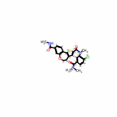 CNC(=O)c1ccc2c(c1)OCCc1cc(C(=O)N(C)c3cc(C(=O)N(C)C)ccc3Cl)sc1-2